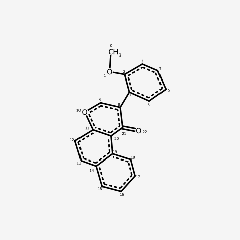 COc1ccccc1-c1coc2ccc3ccccc3c2c1=O